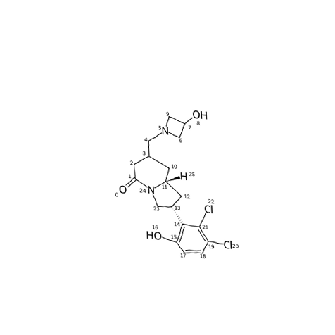 O=C1CC(CN2CC(O)C2)C[C@@H]2C[C@H](c3c(O)ccc(Cl)c3Cl)CN12